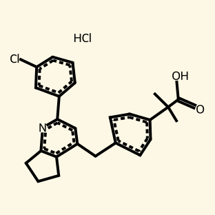 CC(C)(C(=O)O)c1ccc(Cc2cc(-c3cccc(Cl)c3)nc3c2CCC3)cc1.Cl